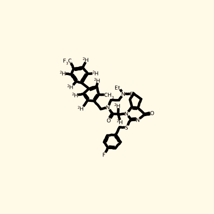 [2H]c1c([2H])c(-c2c([2H])c([2H])c(C(F)(F)F)c([2H])c2[2H])c([2H])c(C)c1CN(CCN(CC)CC)C(=O)C([2H])([2H])n1c(SCc2ccc(F)cc2)nc(=O)c2c1CCC2